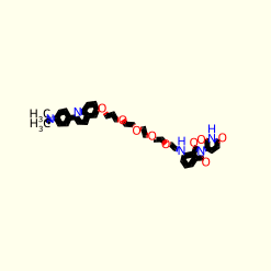 CN(C)c1ccc(-c2ccc3cc(OCCCOCCOCCOCCOCCNc4cccc5c4C(=O)N(C4CCC(=O)NC4=O)C5=O)ccc3n2)cc1